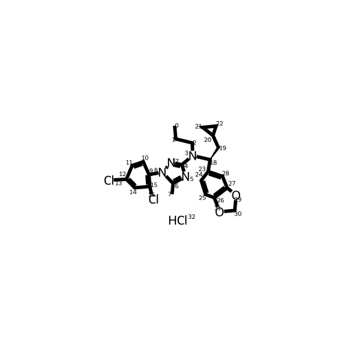 CCCN(c1nc(C)n(-c2ccc(Cl)cc2Cl)n1)[C@@H](CC1CC1)c1ccc2c(c1)OCO2.Cl